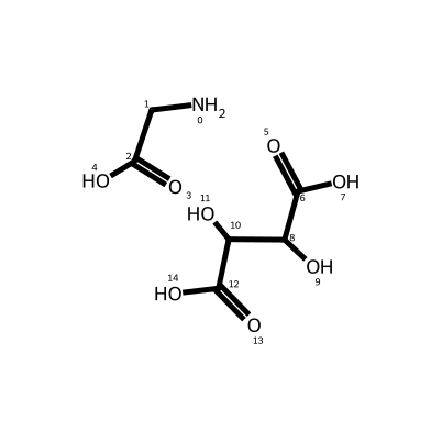 NCC(=O)O.O=C(O)C(O)C(O)C(=O)O